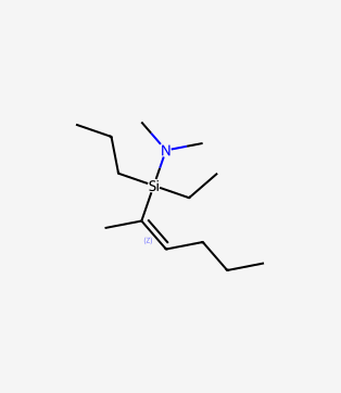 CCC/C=C(/C)[Si](CC)(CCC)N(C)C